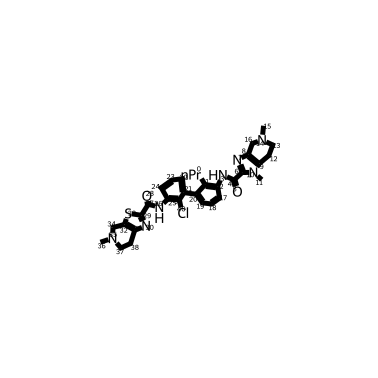 CCCc1c(NC(=O)c2nc3c(n2C)CCN(C)C3)cccc1-c1cccc(NC(=O)c2nc3c(s2)CN(C)CC3)c1Cl